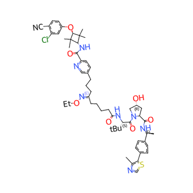 CCO/N=C(\CCCCC(=O)N[C@H](C(=O)N1C[C@H](O)CC1C(=O)N[C@@H](C)c1ccc(-c2scnc2C)cc1)C(C)(C)C)CCCc1ccc(C(=O)N[C@H]2C(C)(C)[C@H](Oc3ccc(C#N)c(Cl)c3)C2(C)C)nc1